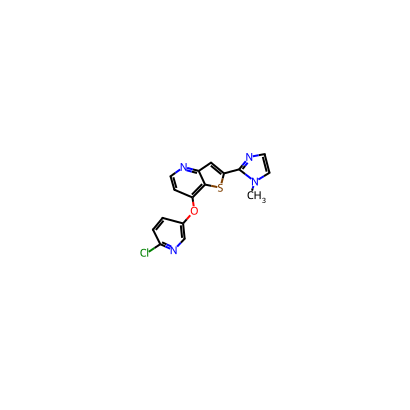 Cn1ccnc1-c1cc2nccc(Oc3ccc(Cl)nc3)c2s1